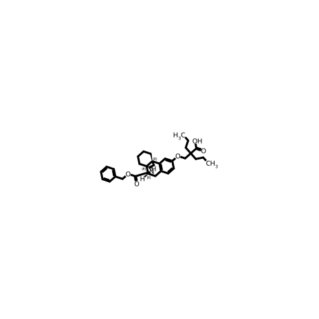 CCCC(CCC)(COc1ccc2c(c1)[C@@]13CCCC[C@H]1[C@@H](C2)N(C(=O)OCc1ccccc1)CC3)C(=O)O